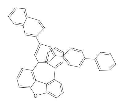 c1ccc(-c2ccc(-c3cc(-c4ccc5ccccc5c4)cc(-c4cccc5oc6cccc(-c7ccccc7)c6c45)c3)cc2)cc1